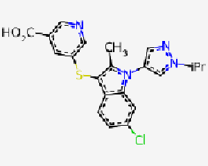 Cc1c(Sc2cncc(C(=O)O)c2)c2ccc(Cl)cc2n1-c1cnn(C(C)C)c1